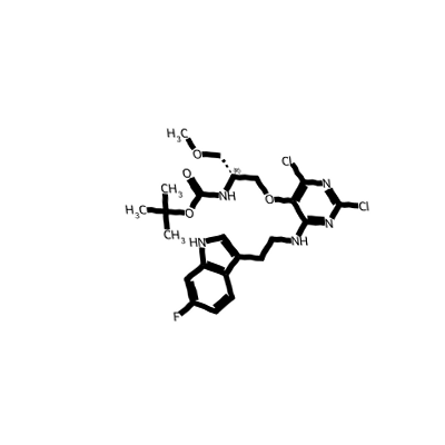 COC[C@H](COc1c(Cl)nc(Cl)nc1NCCc1c[nH]c2cc(F)ccc12)NC(=O)OC(C)(C)C